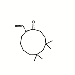 C=CN1CCCCC(C)(C)CC(C)(C)CCC1=O